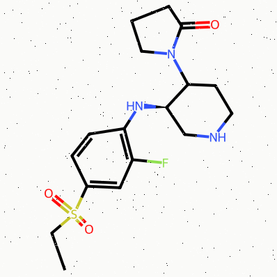 CCS(=O)(=O)c1ccc(N[C@@H]2CNCCC2N2CCCC2=O)c(F)c1